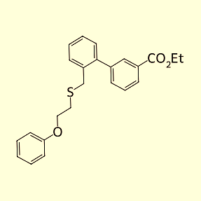 CCOC(=O)c1cccc(-c2ccccc2CSCCOc2ccccc2)c1